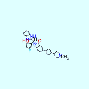 [2H]C(c1nc2ccccc2[nH]1)(c1cc(F)ccc1O)N1Cc2ccc(-c3ccc(C4CCN(C)CC4)cc3)cc2C1=O